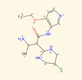 NC(N=O)C(C(=O)Nc1cnccc1OCC(F)(F)F)C1NCC(Cl)CN1